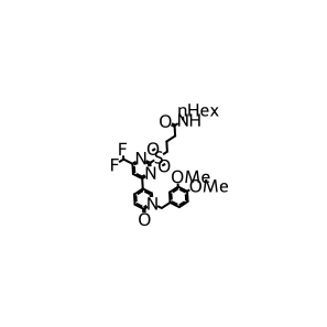 CCCCCCNC(=O)CCCS(=O)(=O)c1nc(-c2ccc(=O)n(Cc3ccc(OC)c(OC)c3)c2)cc(C(F)F)n1